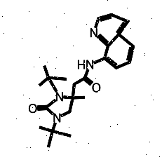 CC(C)(C)N1CC(C)(CC(=O)Nc2cccc3cccnc23)N(C(C)(C)C)C1=O